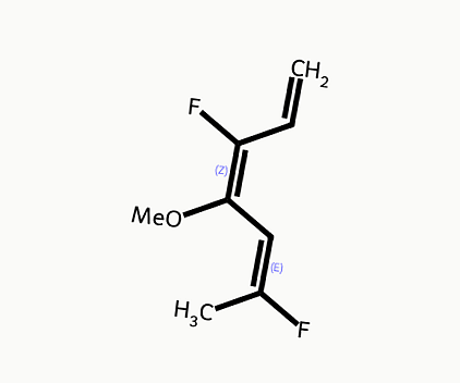 C=C/C(F)=C(\C=C(/C)F)OC